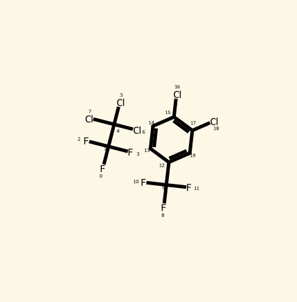 FC(F)(F)C(Cl)(Cl)Cl.FC(F)(F)c1ccc(Cl)c(Cl)c1